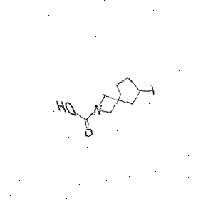 O=C(O)N1CC2(CCC(I)C2)C1